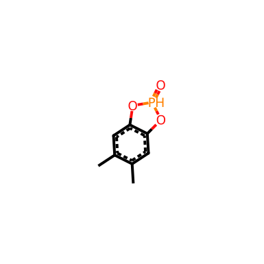 Cc1cc2c(cc1C)O[PH](=O)O2